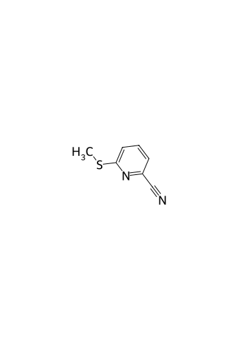 CSc1cccc(C#N)n1